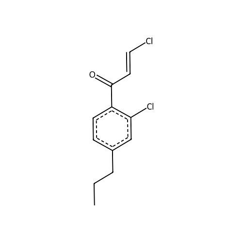 CCCc1ccc(C(=O)C=CCl)c(Cl)c1